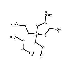 CCCCCCCCCCCC[N+](CCO)(CCO)CCCCCCCCCCCC.O=S(=O)(O)CCO